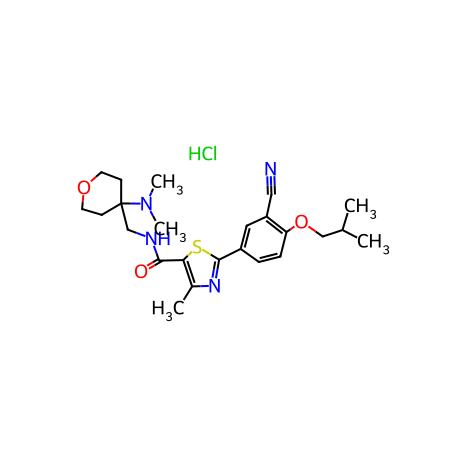 Cc1nc(-c2ccc(OCC(C)C)c(C#N)c2)sc1C(=O)NCC1(N(C)C)CCOCC1.Cl